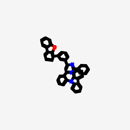 c1ccc(-c2nc(-c3cccc(-c4cccc5c4oc4ccccc45)c3)cc(-c3ccccc3-n3c4ccccc4c4ccccc43)n2)cc1